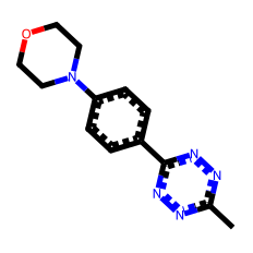 Cc1nnc(-c2ccc(N3CCOCC3)cc2)nn1